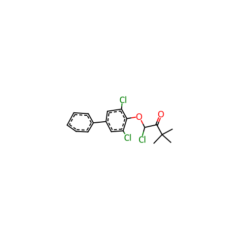 CC(C)(C)C(=O)C(Cl)Oc1c(Cl)cc(-c2ccccc2)cc1Cl